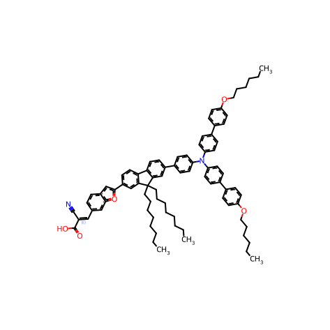 CCCCCCCCC1(CCCCCCCC)c2cc(-c3ccc(N(c4ccc(-c5ccc(OCCCCCC)cc5)cc4)c4ccc(-c5ccc(OCCCCCC)cc5)cc4)cc3)ccc2-c2ccc(-c3cc4ccc(/C=C(\C#N)C(=O)O)cc4o3)cc21